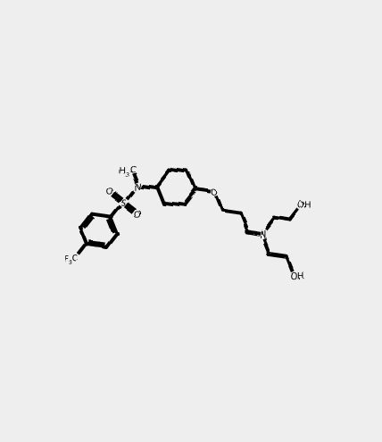 CN(C1CCC(OCCCN(CCO)CCO)CC1)S(=O)(=O)c1ccc(C(F)(F)F)cc1